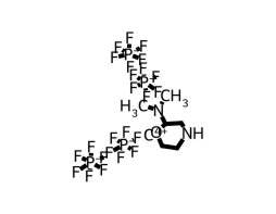 CN(C)C1CNCCO1.F[P-](F)(F)(F)(F)F.F[P-](F)(F)(F)(F)F.F[P-](F)(F)(F)(F)F.F[P-](F)(F)(F)(F)F.[C+4]